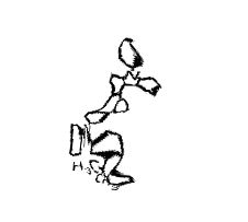 CC1(C)c2ccccc2-c2ccc(N(c3ccccc3)c3ccc4c(c3)oc3c4ccc4c3c3ccccc3n4-c3ccccc3)cc21